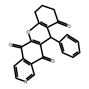 O=C1CCCC2=C1C(c1ccccc1)C1=C(O2)C(=O)c2ccncc2C1=O